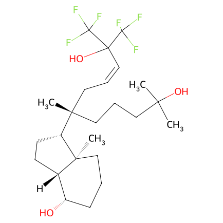 CC(C)(O)CCC[C@@](C)(CC=CC(O)(C(F)(F)F)C(F)(F)F)[C@H]1CC[C@H]2[C@@H](O)CCC[C@]12C